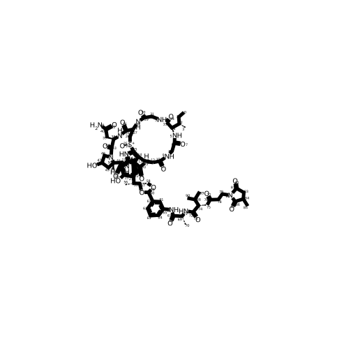 CC[C@H](C)[C@@H]1NC(=O)CNC(=O)C2Cc3c([nH]c4cc(O)ccc34)[S@+]([O-])CC(NC(=O)CNC1=O)C(=O)N[C@H](CC(N)=O)C(=O)N1CC(O)C[C@H]1C(=O)N[C@@H]([C@@H](C)[C@@H]1COC(c3cccc(NC(=O)[C@@H](C)NC(=O)[C@@H](CC(=O)CCN4C(=O)CC(C)C4=O)C(C)C)c3)O1)C(=O)N2